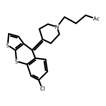 CC(=O)CCCN1CCC(=C2c3ccc(Cl)cc3Sc3sccc32)CC1